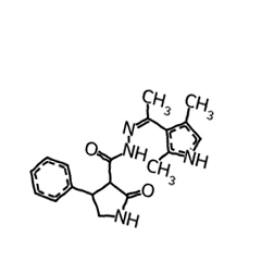 C/C(=N/NC(=O)C1C(=O)NCC1c1ccccc1)c1c(C)c[nH]c1C